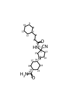 N#CC1(NC(=O)[CH]CC2CCCCC2)CCN([C@H]2CC[C@H](C(N)=O)CC2)C1